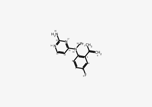 C=C(C)c1cc(F)ccc1N(c1ccnc(N)n1)C(C)C